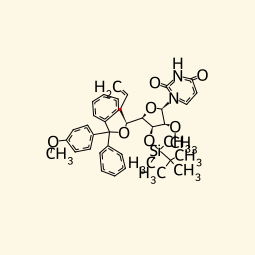 C=CC[C@H](OC(c1ccccc1)(c1ccccc1)c1ccc(OC)cc1)[C@H]1O[C@@H](n2ccc(=O)[nH]c2=O)[C@@H](OC)[C@H]1O[Si](C)(C)C(C)(C)C